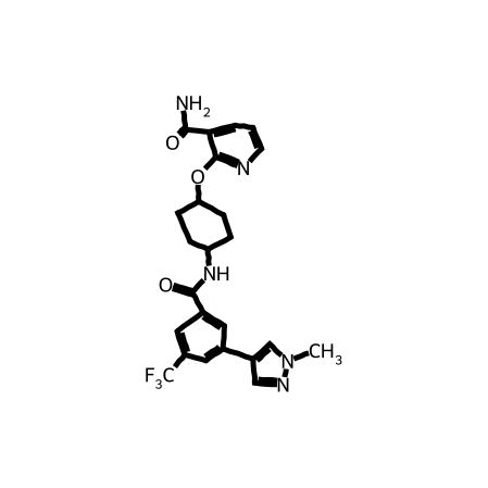 Cn1cc(-c2cc(C(=O)NC3CCC(Oc4ncccc4C(N)=O)CC3)cc(C(F)(F)F)c2)cn1